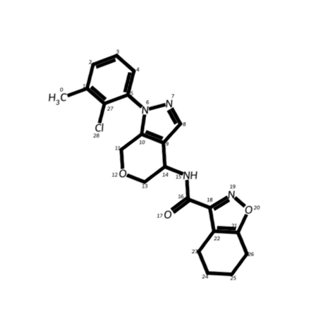 Cc1cccc(-n2ncc3c2COCC3NC(=O)c2noc3c2CCCC3)c1Cl